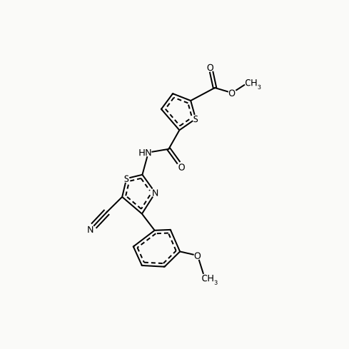 COC(=O)c1ccc(C(=O)Nc2nc(-c3cccc(OC)c3)c(C#N)s2)s1